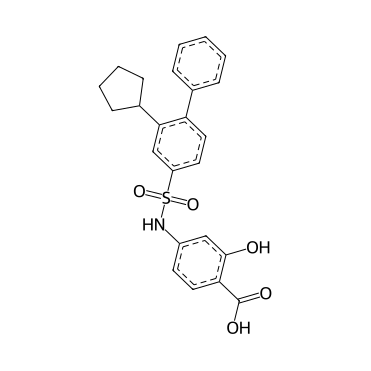 O=C(O)c1ccc(NS(=O)(=O)c2ccc(-c3ccccc3)c(C3CCCC3)c2)cc1O